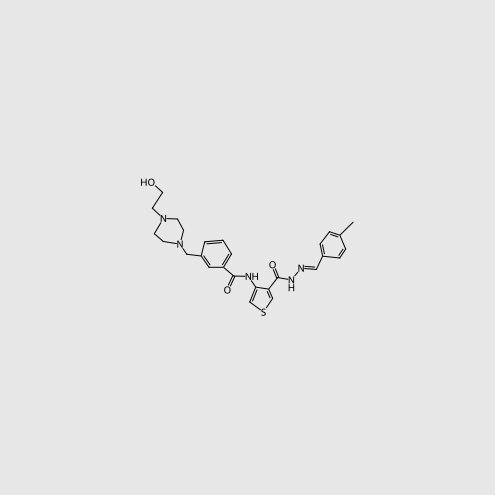 Cc1ccc(/C=N/NC(=O)c2cscc2NC(=O)c2cccc(CN3CCN(CCO)CC3)c2)cc1